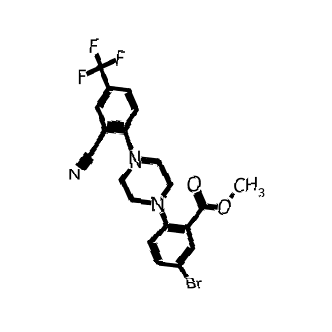 COC(=O)c1cc(Br)ccc1N1CCN(c2ccc(C(F)(F)F)cc2C#N)CC1